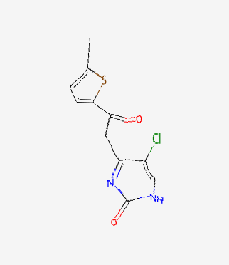 Cc1ccc(C(=O)Cc2nc(=O)[nH]cc2Cl)s1